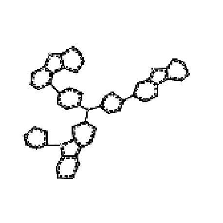 c1ccc(-n2c3ccccc3c3ccc(N(c4ccc(-c5ccc6c(c5)oc5ccccc56)cc4)c4ccc(-c5cccc6sc7ccccc7c56)cc4)cc32)cc1